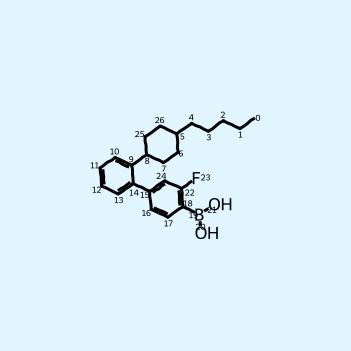 CCCCCC1CCC(c2ccccc2-c2ccc(B(O)O)c(F)c2)CC1